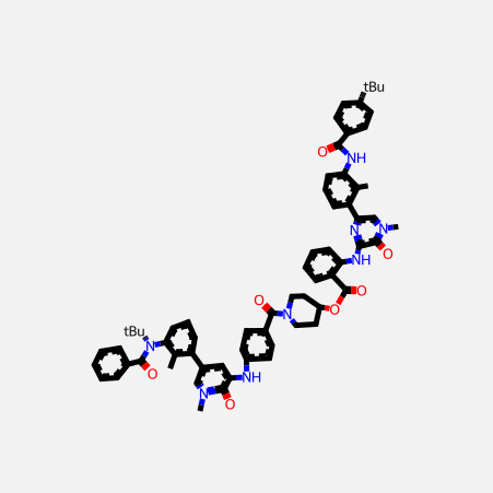 Cc1c(NC(=O)c2ccc(C(C)(C)C)cc2)cccc1-c1cn(C)c(=O)c(Nc2ccccc2C(=O)OC2CCN(C(=O)c3ccc(Nc4cc(-c5cccc(N(C(=O)c6ccccc6)C(C)(C)C)c5C)cn(C)c4=O)cc3)CC2)n1